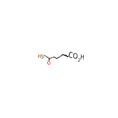 O=C(O)CCCCC(=O)CS